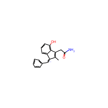 CC1=C(CC(N)=O)c2c(O)cccc2/C1=C\c1ccccc1